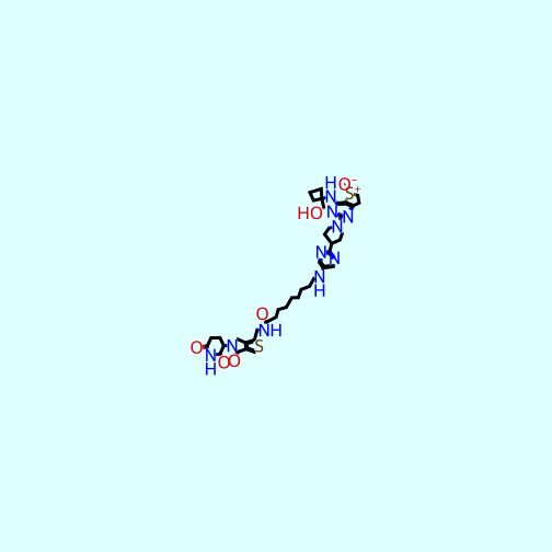 O=C(CCCCCCCCNc1cnc(C2CCN(c3nc4c(c(NC5(CO)CCC5)n3)[S@+]([O-])CC4)CC2)nc1)NCc1scc2c1CN(C1CCC(=O)NC1=O)C2=O